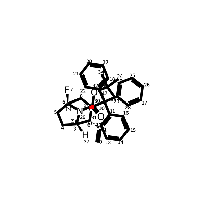 C=C[C@@H]1[C@@H]2CC[C@](F)(CN1C(c1ccccc1)(c1ccccc1)c1ccccc1)N2C(=O)OC(C)(C)C